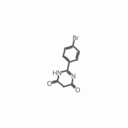 O=C1CC(=O)NC(c2ccc(Br)cc2)=N1